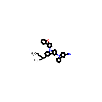 CCCCC(CC)Cc1ccc2c(c1)c1cc(-n3c4ccccc4c4cc(C#N)ccc43)ccc1n2-c1ccc2oc3ccccc3c2c1